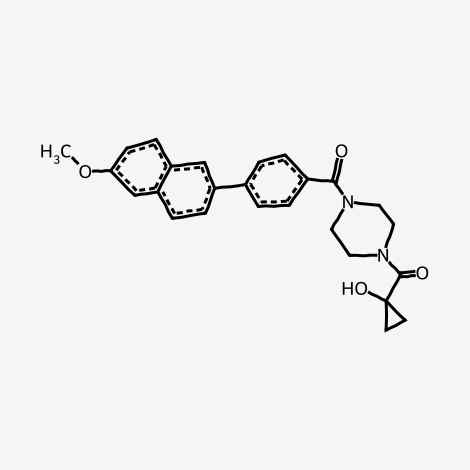 COc1ccc2cc(-c3ccc(C(=O)N4CCN(C(=O)C5(O)CC5)CC4)cc3)ccc2c1